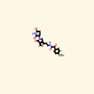 CC(C)(C)c1ccc(C(=O)C(=O)NCCc2scc3c2CN(C2CCC(=O)NC2=O)C3=O)cc1